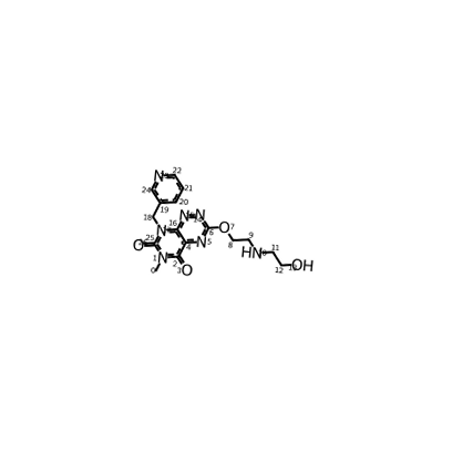 Cn1c(=O)c2nc(OCCNCCO)nnc2n(Cc2cccnc2)c1=O